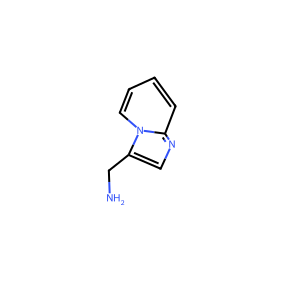 NCc1cnc2ccccn12